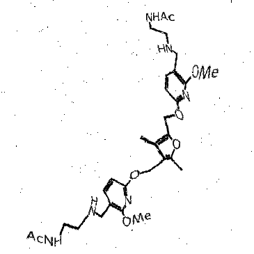 COc1nc(OCc2oc(C)c(COc3ccc(CNCCNC(C)=O)c(OC)n3)c2C)ccc1CNCCNC(C)=O